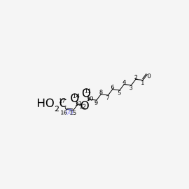 C=CCCCCCCCCC(=O)OC(=O)/C=C\C(=O)O